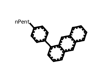 CCCCCc1ccc(-c2cccc3cc4ccccc4cc23)cc1